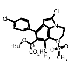 Cc1c([C@H](OC(C)(C)C)C(=O)O)c(-c2ccc(Cl)cc2)c2cc(Cl)n3c2c1N(S(C)(=O)=O)CC3